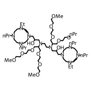 CCCOCCOCC(COCCOCCOC)N(CCN(CC(O)CN1/C=C\N(CC)CCN(CCC)CCN(CCC)CC1)C(COCCOCCOC)COCCOCCOC)CC(O)CN1CCN(CC)/C=C\N(CCC)CCN(CCC)CC1